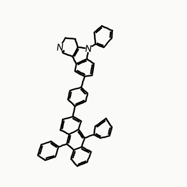 C1=NCCc2c1c1cc(-c3ccc(-c4ccc5c(-c6ccccc6)c6ccccc6c(-c6ccccc6)c5c4)cc3)ccc1n2-c1ccccc1